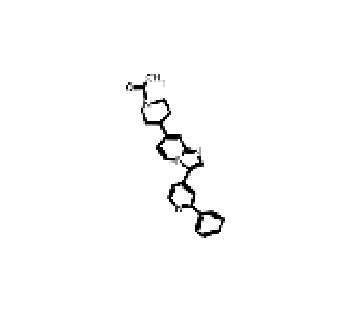 CC(=O)N1CCC(c2ccn3c(-c4ccnc(-c5ccccc5)c4)cnc3c2)CC1